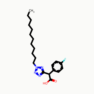 CCCCCCCCCCCCn1nnc(C(C(=O)O)c2ccc(F)cc2)n1